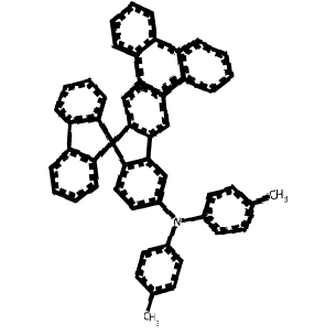 Cc1ccc(N(c2ccc(C)cc2)c2ccc3c(c2)-c2cc4c5ccccc5c5ccccc5c4cc2C32c3ccccc3-c3ccccc32)cc1